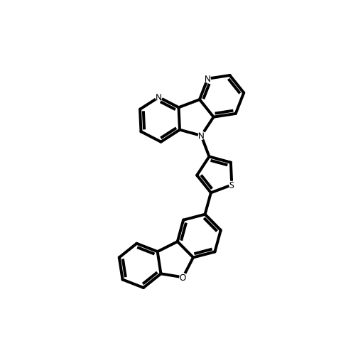 c1ccc2c(c1)oc1ccc(-c3cc(-n4c5cccnc5c5ncccc54)cs3)cc12